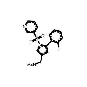 CNCc1cc(-c2ccc[c]c2F)n(S(=O)(=O)c2cccnc2)c1